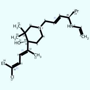 C=CN[C@@H](/C=C/CN1CC[C@@](O)(/C(C)=C/C=C(/Cl)CC)C(C)(C)C1)C(C)C